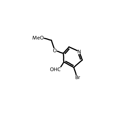 COCOc1cncc(Br)c1C=O